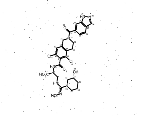 N#C/N=C(\NC[C@H](NC(=O)c1c(Cl)cc2c(c1Cl)CCN(C(=O)c1ccc3cn[nH]c3c1)C2)C(=O)O)N1CCC[C@@H](O)C1